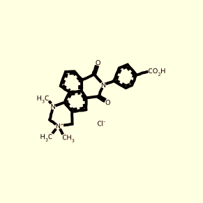 CN1C[N+](C)(C)Cc2cc3c4c(cccc4c21)C(=O)N(c1ccc(C(=O)O)cc1)C3=O.[Cl-]